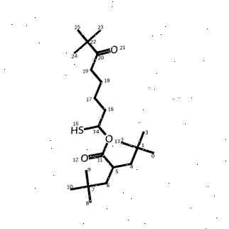 CC(C)(C)CC(CC(C)(C)C)C(=O)OC(S)CCCCC(=O)C(C)(C)C